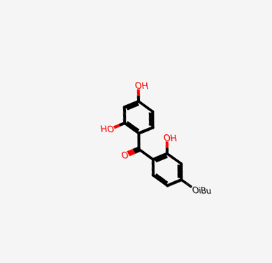 CC(C)COc1ccc(C(=O)c2ccc(O)cc2O)c(O)c1